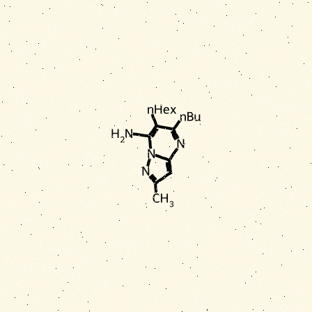 CCCCCCc1c(CCCC)nc2cc(C)nn2c1N